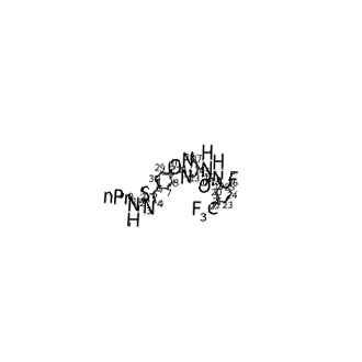 CCCNc1ncc(-c2ccc(Oc3ncc(NC(=O)Nc4cc(C(F)(F)F)ccc4F)cn3)cc2)s1